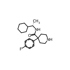 C[C@H](NC(=O)C1(c2ccc(F)cc2)CCNCC1)C1CCCCC1